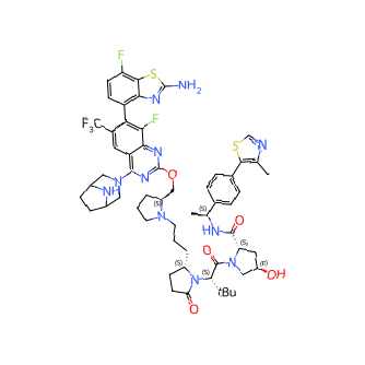 Cc1ncsc1-c1ccc([C@H](C)NC(=O)[C@@H]2C[C@@H](O)CN2C(=O)[C@@H](N2C(=O)CC[C@@H]2CCCN2CCC[C@H]2COc2nc(N3CC4CCC(C3)N4)c3cc(C(F)(F)F)c(-c4ccc(F)c5sc(N)nc45)c(F)c3n2)C(C)(C)C)cc1